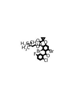 C[Si](C)(C)CCON1C(=O)C2(CC2)Oc2cc(Br)c(C(=O)c3cc(F)ccc3Cl)c(Br)c21